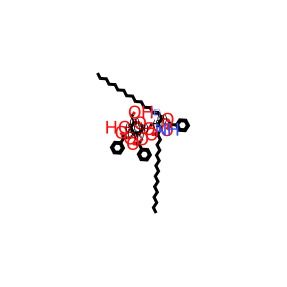 CCCCCCCCCCCCC/C=C/[C@@H](OC(=O)c1ccccc1)[C@H](CO[C@@H]1O[C@H](CO)[C@H](O)[C@H](OC(=O)c2ccccc2)[C@H]1OC(=O)c1ccccc1)NC(=O)CCCCCCCCCCCCCCC